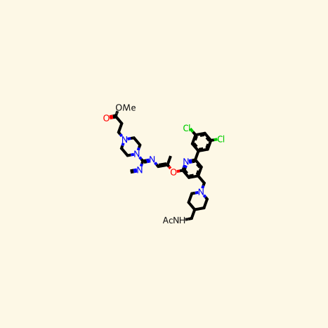 C=N/C(=N\C=C(/C)Oc1cc(CN2CCC(CNC(C)=O)CC2)cc(-c2cc(Cl)cc(Cl)c2)n1)N1CCN(CCC(=O)OC)CC1